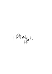 O=C(Nc1ccc(-n2nc(-c3cccnc3)cc2C(F)(F)F)cn1)c1ccc(=O)n(CCO)c1